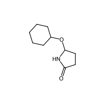 O=C1CCC(OC2CCCCC2)N1